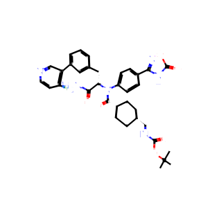 CC(C)(C)OC(=O)NC[C@H]1CC[C@H](C(=O)N(c2ccc(-c3noc(=O)[nH]3)cc2)[C@@H](Cc2cccc(-c3cnccc3Cl)c2)C(N)=O)CC1